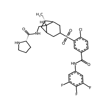 C[C@H]1CC2CC(S(=O)(=O)c3cc(C(=O)Nc4cc(F)c(F)c(F)c4)ccc3Cl)CC1[C@@]2(O)CNC(=O)[C@@H]1CCCN1